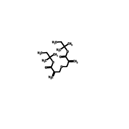 C=C(COCC(=C)C(=O)OC(C)(C)CC)C(=O)OC(C)(C)CC